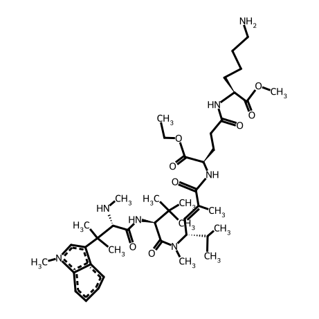 CCOC(=O)[C@@H](CCC(=O)N[C@@H](CCCCN)C(=O)OC)NC(=O)/C(C)=C/[C@H](C(C)C)N(C)C(=O)[C@@H](NC(=O)[C@@H](NC)C(C)(C)c1cn(C)c2ccccc12)C(C)(C)C